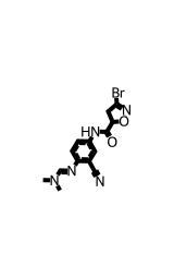 CN(C)/C=N/c1ccc(NC(=O)C2CC(Br)=NO2)cc1C#N